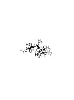 COC(=O)[C@H](O)CO[C@@H](C)CO[Si](C(C)C)(C(C)C)C(C)C